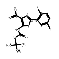 CC(C)(C)OC(=O)Nc1sc(-c2cc(F)ccc2F)nc1C(=O)O